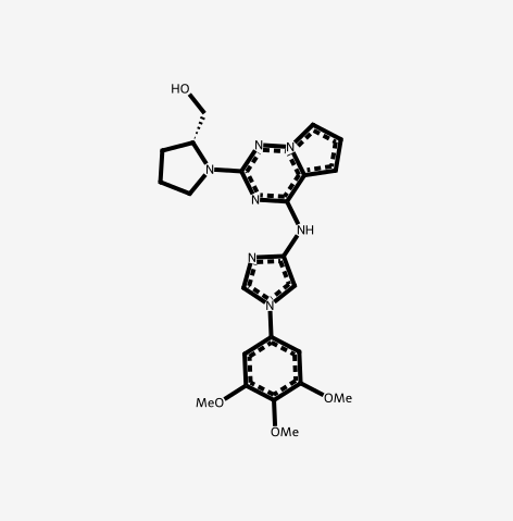 COc1cc(-n2cnc(Nc3nc(N4CCC[C@@H]4CO)nn4cccc34)c2)cc(OC)c1OC